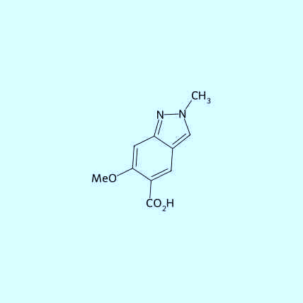 COc1cc2nn(C)cc2cc1C(=O)O